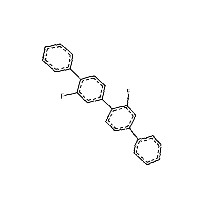 Fc1cc(-c2ccccc2)ccc1-c1ccc(-c2ccccc2)c(F)c1